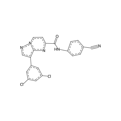 N#Cc1ccc(NC(=O)c2ccn3ncc(-c4cc(Cl)cc(Cl)c4)c3n2)cc1